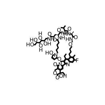 CCc1c2c(nc3cc(F)c(C)c(CCCCOCNC(=O)[C@H](C)NC(=O)[C@@H](NC(=O)[C@H](CCC(=O)NC[C@H](O)[C@@H](O)[C@H](O)[C@H](O)CO)NC(=O)CCCCCN4C(=O)C=CC4O)C(C)C)c13)-c1cc3c(c(=O)n1C2)COC(=O)[C@]3(O)CC